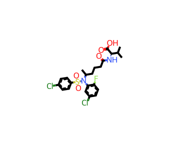 CC(C)[C@H](NC(=O)CCCC(C)N(c1cc(Cl)ccc1F)S(=O)(=O)c1ccc(Cl)cc1)C(=O)O